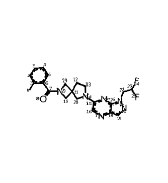 Cc1ccccc1C(=O)N1CC2(CCN(c3cnc4cnn(CC(F)F)c4n3)C2)C1